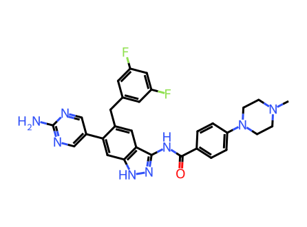 CN1CCN(c2ccc(C(=O)Nc3n[nH]c4cc(-c5cnc(N)nc5)c(Cc5cc(F)cc(F)c5)cc34)cc2)CC1